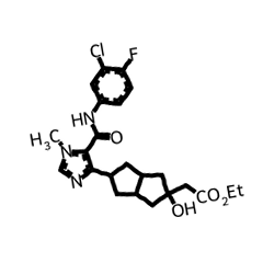 CCOC(=O)CC1(O)CC2CC(c3ncn(C)c3C(=O)Nc3ccc(F)c(Cl)c3)CC2C1